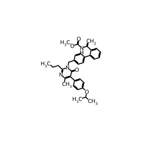 C=C(NC(=O)OC)c1ccccc1-c1ccc(Cn2c(CCC)nc(C)c(-c3ccc(OC(C)C)cc3)c2=O)cc1